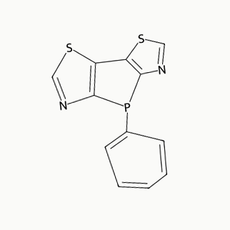 c1ccc(-p2c3ncsc3c3scnc32)cc1